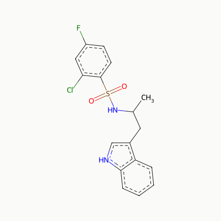 CC(Cc1c[nH]c2ccccc12)NS(=O)(=O)c1ccc(F)cc1Cl